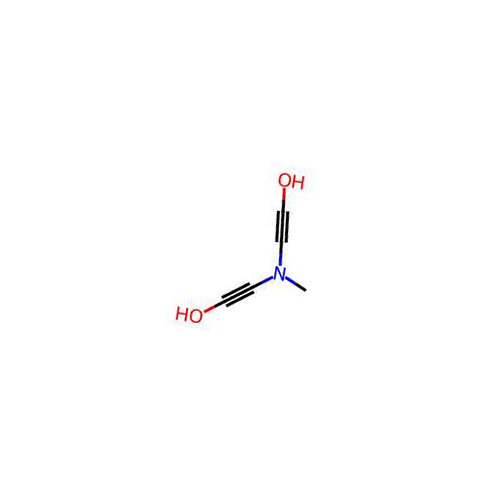 CN(C#CO)C#CO